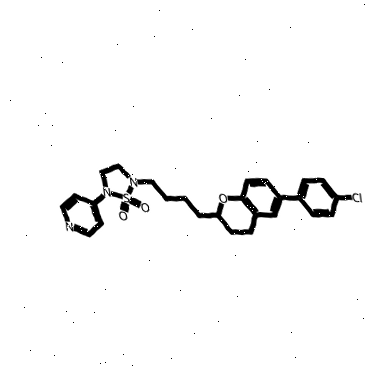 O=S1(=O)N(CCCCC2CCc3cc(-c4ccc(Cl)cc4)ccc3O2)CCN1c1ccncc1